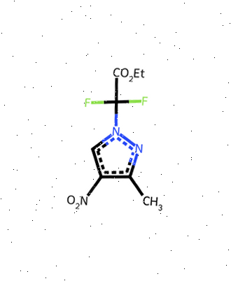 CCOC(=O)C(F)(F)n1cc([N+](=O)[O-])c(C)n1